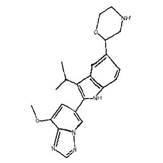 COc1cc(-c2[nH]c3ccc(C4CNCCO4)cc3c2C(C)C)cn2ncnc12